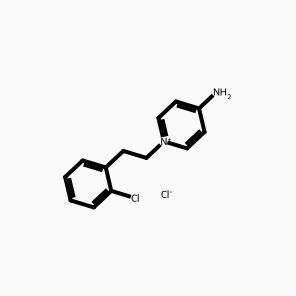 Nc1cc[n+](CCc2ccccc2Cl)cc1.[Cl-]